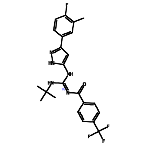 Cc1cc(-c2cc(N/C(=N\C(=O)c3ccc(C(F)(F)F)cc3)NC(C)(C)C)[nH]n2)ccc1F